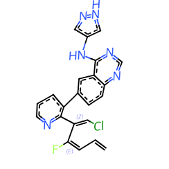 C=C/C=C(F)\C(=C/Cl)c1ncccc1-c1ccc2ncnc(Nc3cn[nH]c3)c2c1